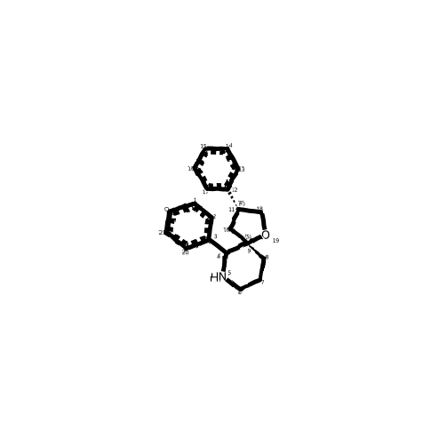 c1ccc(C2NCCC[C@]23C[C@H](c2ccccc2)CO3)cc1